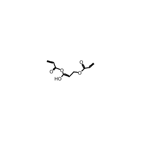 C=CC(=O)OC/C=C(/O)OC(=O)C=C